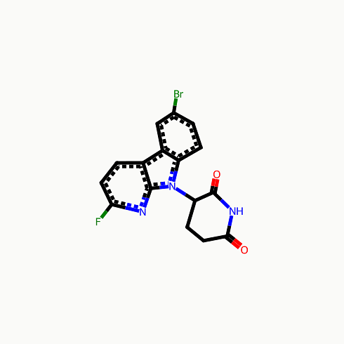 O=C1CCC(n2c3ccc(Br)cc3c3ccc(F)nc32)C(=O)N1